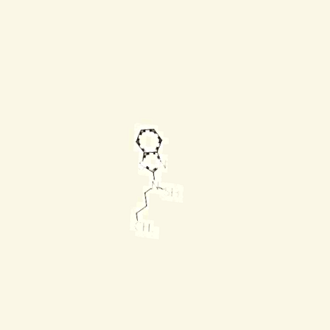 CCCCN(S)c1nc2ccccc2s1